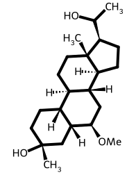 CO[C@@H]1C[C@@H]2[C@H](CC[C@]3(C)[C@@H](C(C)O)CC[C@@H]23)[C@H]2CC[C@@](C)(O)C[C@H]21